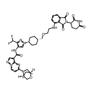 O=C1CCC(N2C(=O)c3cccc(NCCOC[C@H]4CC[C@H](n5cc(NC(=O)c6cnn7ccc(N8C[C@H]9C[C@@H]8CO9)nc67)c(C(F)F)n5)CC4)c3C2=O)C(=O)N1